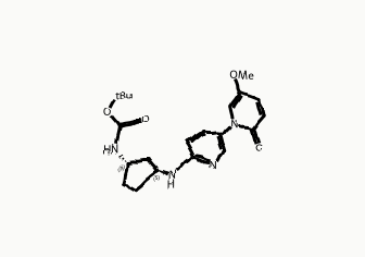 COc1ccc(=O)n(-c2ccc(N[C@H]3CC[C@H](NC(=O)OC(C)(C)C)C3)nc2)c1